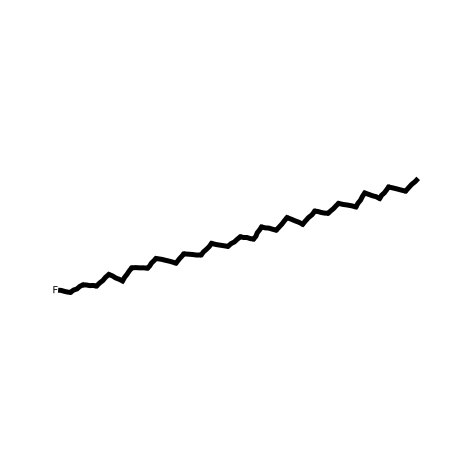 CCCCCCCCCCCCCCCCCCCCCCCCCCCCF